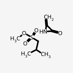 C=C1NC1=O.COS(=O)(=O)CC(C)C